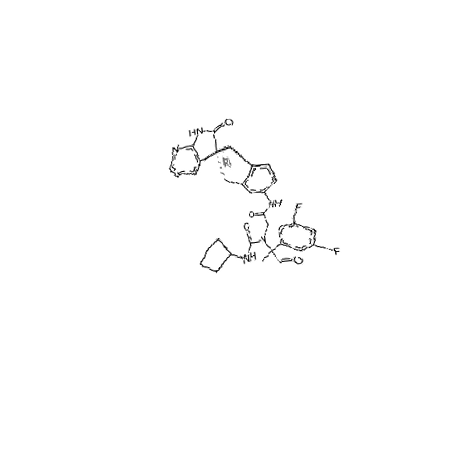 CC(C=O)(c1cc(F)cc(F)c1)N(CC(=O)Nc1ccc2c(c1)C[C@@]1(C2)C(=O)Nc2ncccc21)C(=O)NC1CCCC1